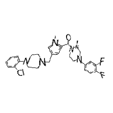 C[C@H]1CN(c2ccc(F)c(F)c2)CCN1C(=O)c1cc(CN2CCN(c3ccccc3Cl)CC2)cn1C